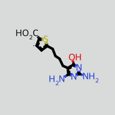 Nc1nc(N)c(CCCCc2c[c]c(C(=O)O)s2)c(O)n1